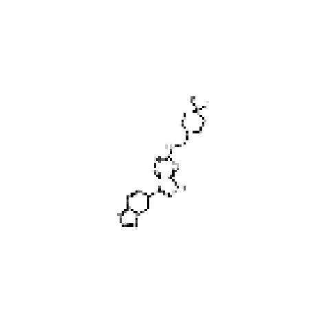 FC1(F)CCC(CNc2ncc3c(-c4ccc5ncnn5c4)c[nH]c3n2)CC1